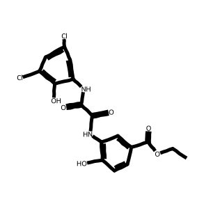 CCOC(=O)c1ccc(O)c(NC(=O)C(=O)Nc2cc(Cl)cc(Cl)c2O)c1